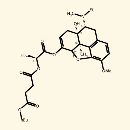 CCCCOC(=O)CCC(=O)O[C@@H](C)C(=O)OC1=CC[C@@]2(O)[C@H](N(C)CC)Cc3ccc(OC)c4c3[C@@]2(C)[C@H]1O4